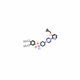 COc1ccc(S(=O)(=O)N[C@H]2CC[C@H](N3CCN(c4ncccc4OCC4CC4)CC3)CC2)cc1OC